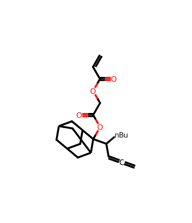 C=C=CC(CCCC)C1(OC(=O)COC(=O)C=C)C2CC3CC(C2)CC1C3